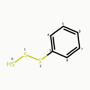 SSSc1cc[c]cc1